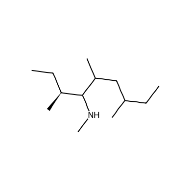 CCC(C)CC(C)C(NC)[C@@H](C)CC